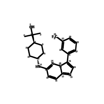 CC(C)(O)[C@H]1CC[C@H](Nc2ccc3ncc(-c4cccc(C(F)(F)F)c4)n3n2)CC1